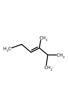 [CH2]C(C)C(C)=CCC